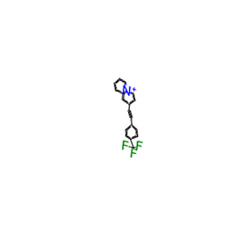 FC(F)(F)c1ccc(C#Cc2cc[n+]3ccccc3c2)cc1